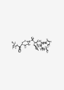 Cc1c(C(=O)N2CCC(C(=O)CCC(F)(F)F)CC2)cnn1-c1nn2cccc2c(=O)[nH]1